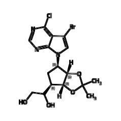 CC1(C)O[C@@H]2[C@H](O1)[C@@H](C(O)CO)C[C@H]2n1cc(Br)c2c(Cl)ncnc21